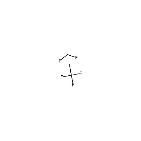 FC(F)(F)I.FCF